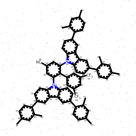 Cc1ccc(-c2ccc3c(c2)c2cc(-c4ccc(C)cc4C)ccc2n3-c2cc(C#N)cc(-n3c4ccc(-c5ccc(C)cc5C)cc4c4cc(-c5ccc(C)cc5C)ccc43)c2-c2cc(C(F)(F)F)cc(C(F)(F)F)c2)c(C)c1